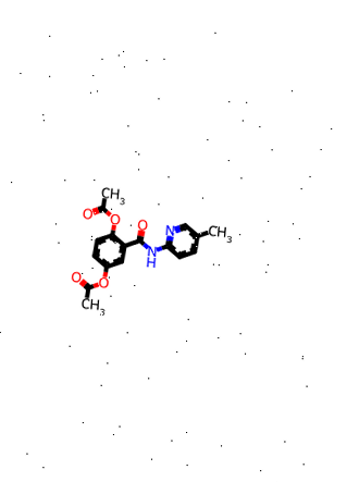 CC(=O)Oc1ccc(OC(C)=O)c(C(=O)Nc2ccc(C)cn2)c1